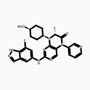 CO[C@H]1CC[C@@H](N2c3nc(Nc4cc(F)c5[nH]ncc5c4)ncc3N(c3cccnc3)C(=O)[C@H]2C)CC1